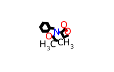 CC(C)C(=O)N(Cc1ccccc1)C1CCOC1=O